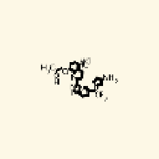 C[C@H](O)COc1cccc2ccc(-c3nnc4ccc([C@@H](N5CC[C@H](N)C5)C(F)(F)F)cn34)nc12.Cl.Cl